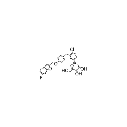 OC[C@H]1O[C@@H](c2ccc(Cl)c(Cc3ccc(OCc4cc5ccc(F)cc5o4)cc3)c2)C[C@@H](O)[C@@H]1O